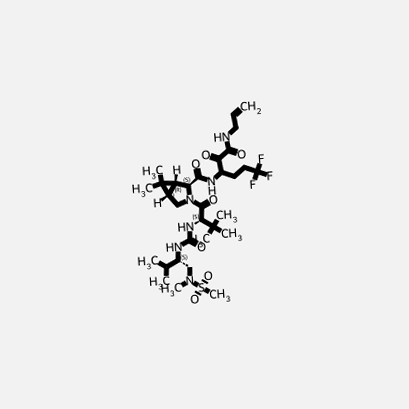 C=CCNC(=O)C(=O)C(CCC(F)(F)F)NC(=O)[C@@H]1[C@@H]2[C@H](CN1C(=O)[C@@H](NC(=O)N[C@H](CN(C)S(C)(=O)=O)C(C)C)C(C)(C)C)C2(C)C